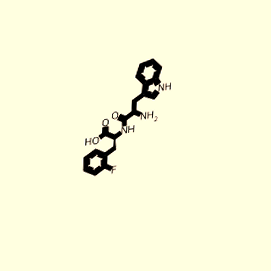 NC(Cc1c[nH]c2ccccc12)C(=O)N[C@@H](Cc1ccccc1F)C(=O)O